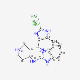 Br.Br.Br.Cc1[nH]cnc1Cn1c(NC2CCNCC2)nc2ccccc21